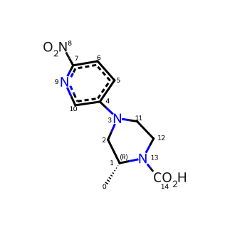 C[C@@H]1CN(c2ccc([N+](=O)[O-])nc2)CCN1C(=O)O